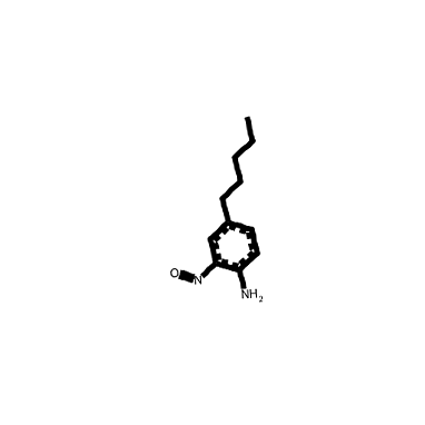 CCCCCc1ccc(N)c(N=O)c1